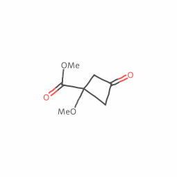 COC(=O)C1(OC)CC(=O)C1